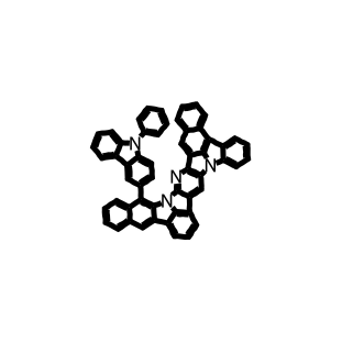 c1ccc(-n2c3ccccc3c3cc(-c4c5ccccc5cc5c6cccc7c8cc9c(nc8n(c45)c76)c4cc5ccccc5c5c6ccccc6n9c45)ccc32)cc1